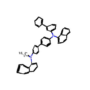 CN(c1ccc(-c2ccc(N(c3cccc(-c4ccccc4)c3)c3cccc4ccccc34)cc2)cc1)c1cccc2ccccc12